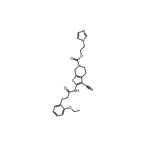 CCOc1ccccc1CCC(=O)Nc1sc2c(c1C#N)CCN(C(=O)OCCn1ccnc1)C2